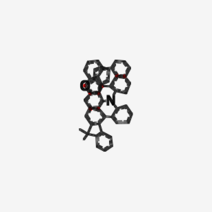 CC1(C)c2ccccc2-c2c(-c3ccccc3N(c3ccccc3-c3cccc4cccc(-c5ccccc5)c34)c3cccc4oc5ccccc5c34)cccc21